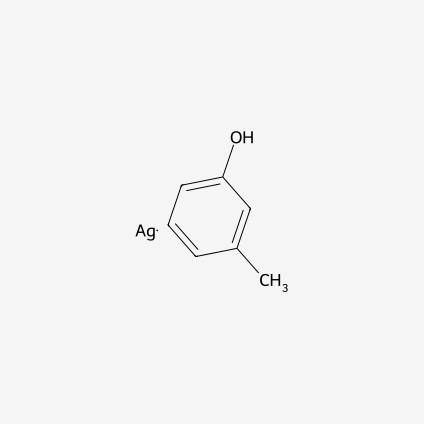 Cc1cccc(O)c1.[Ag]